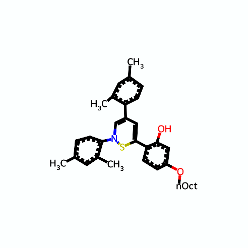 CCCCCCCCOc1ccc(C2=CC(c3ccc(C)cc3C)=CN(c3ccc(C)cc3C)S2)c(O)c1